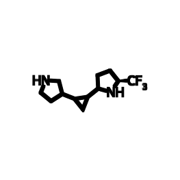 FC(F)(F)[C@@H]1CCC(C2CC2C2CCNC2)N1